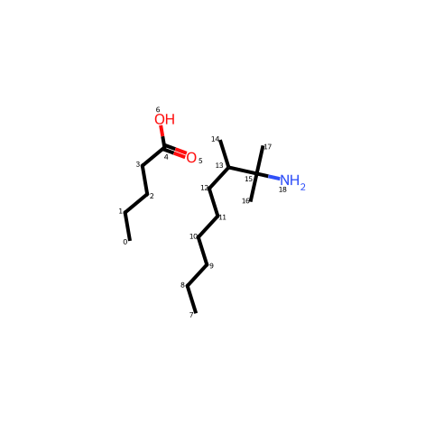 CCCCC(=O)O.CCCCCCC(C)C(C)(C)N